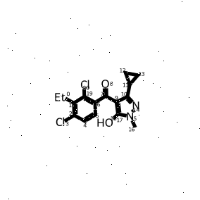 CCc1c(Cl)ccc(C(=O)c2c(C3CC3)nn(C)c2O)c1Cl